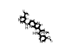 CN/C=C(\C(=N)c1cncc(OC)c1)c1cnc2ccc(Nc3cc(C(C)C)cnn3)nc2c1